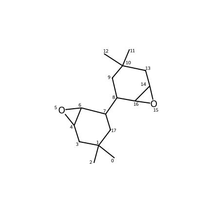 CC1(C)CC2OC2C(C2CC(C)(C)CC3OC32)C1